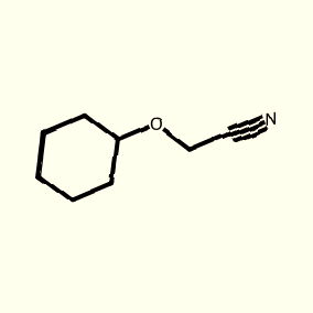 N#CCOC1CCCCC1